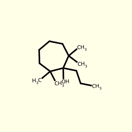 CCCC1(O)C(C)(C)CCCCC1(C)C